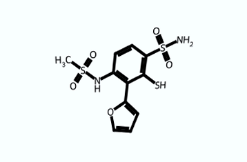 CS(=O)(=O)Nc1ccc(S(N)(=O)=O)c(S)c1-c1ccco1